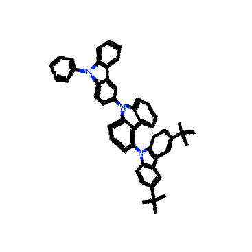 CC(C)(C)C1=Cc2c(n(-c3cccc4c3c3ccccc3n4-c3ccc4c(c3)c3ccccc3n4-c3ccccc3)c3ccc(C(C)(C)C)cc23)CC1